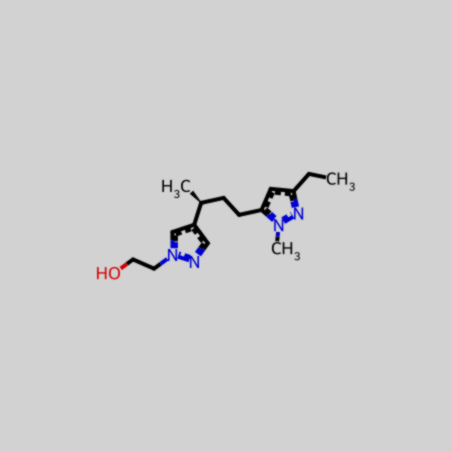 CCc1cc(CC[C@H](C)c2cnn(CCO)c2)n(C)n1